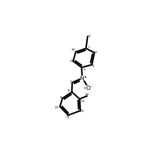 Cc1ccc([N+]([O-])=Cc2ccccc2C)cc1